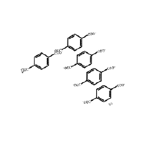 O=C([O-])c1ccc(C(=O)[O-])cc1.O=C([O-])c1ccc(C(=O)[O-])cc1.O=C([O-])c1ccc(C(=O)[O-])cc1.O=C([O-])c1ccc(C(=O)[O-])cc1.O=C([O-])c1ccc(C(=O)[O-])cc1.[V+5].[V+5]